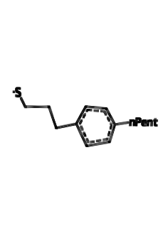 CCCCCc1ccc(CCC[S])cc1